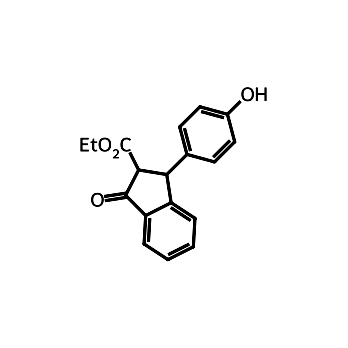 CCOC(=O)C1C(=O)c2ccccc2C1c1ccc(O)cc1